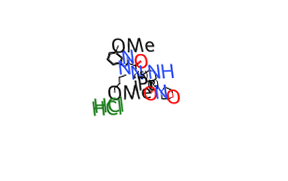 COCCCCn1c(C(=O)N(CC(C)C)[C@@H]2CNC[C@H](C(=O)N3CCOCC3)C2)nc2c(OC)cccc21.Cl.Cl